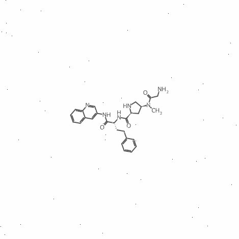 CN(C(=O)CN)[C@@H]1CN[C@H](C(=O)N[C@H](CCc2ccccc2)C(=O)Nc2cnc3ccccc3c2)C1